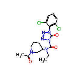 CCN(C(=O)n1nnn(-c2c(Cl)cccc2Cl)c1=O)C1CCCN(C(C)=O)C1